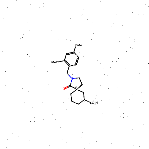 COc1ccc(CN2CC[C@@]3(CCCC(C(=O)O)C3)C2=O)c(OC)c1